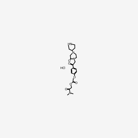 CN(C)C(=O)COC(=O)COc1ccc(C(=O)CN2CCN(C3CCNCC3)CC2=O)cc1.Cl